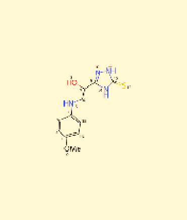 COc1ccc(NCC(O)c2n[nH]c(=S)[nH]2)cc1